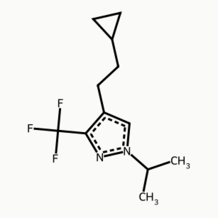 CC(C)n1cc(CCC2CC2)c(C(F)(F)F)n1